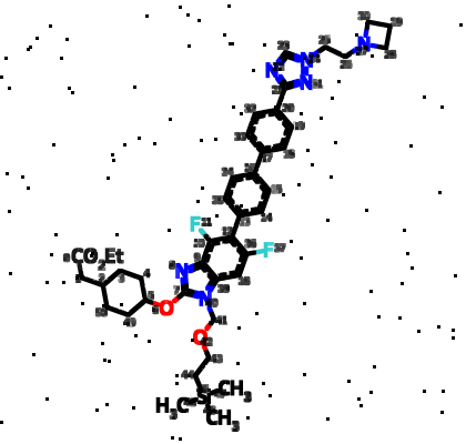 CCOC(=O)CC1CCC(Oc2nc3c(F)c(-c4ccc(-c5ccc(-c6ncn(CCN7CCC7)n6)cc5)cc4)c(F)cc3n2COCC[Si](C)(C)C)CC1